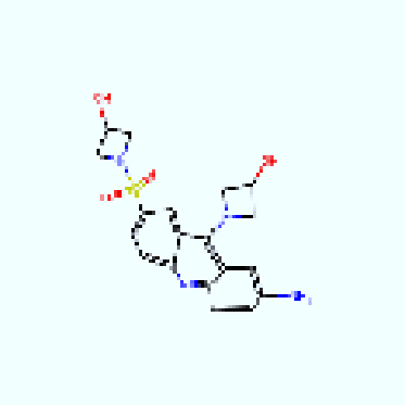 Nc1ccc2nc3ccc(S(=O)(=O)N4CC(O)C4)cc3c(N3CC(O)C3)c2c1